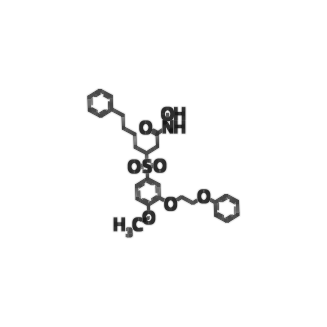 COc1ccc(S(=O)(=O)C(CCCCc2ccccc2)CC(=O)NO)cc1OCCOc1ccccc1